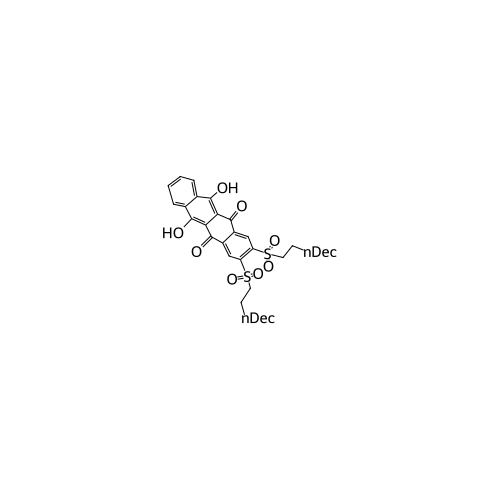 CCCCCCCCCCCCS(=O)(=O)c1cc2c(cc1S(=O)(=O)CCCCCCCCCCCC)C(=O)c1c(c(O)c3ccccc3c1O)C2=O